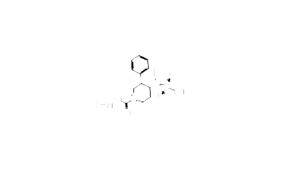 CC(C)S(=O)(=O)N[C@@H]1CCN(C(=O)OC(C)(C)C)C[C@H]1c1ccccc1